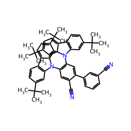 CC(C)(C)c1ccc2c3ccc(C(C)(C)C)cc3n(-c3cc(C#N)c(-c4cccc(C#N)c4)cc3-n3c4cc(C(C)(C)C)ccc4c4ccc(C(C)(C)C)cc43)c2c1